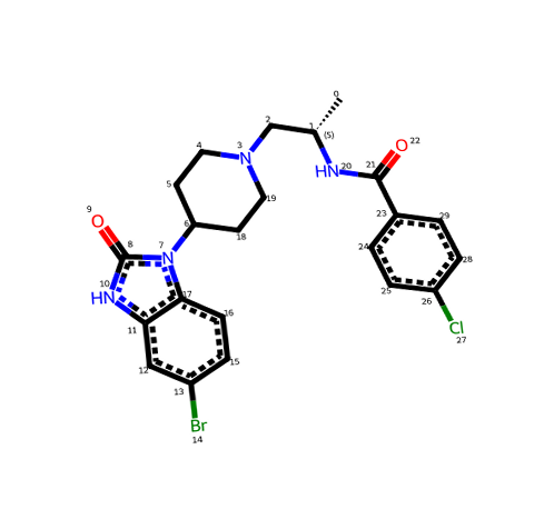 C[C@@H](CN1CCC(n2c(=O)[nH]c3cc(Br)ccc32)CC1)NC(=O)c1ccc(Cl)cc1